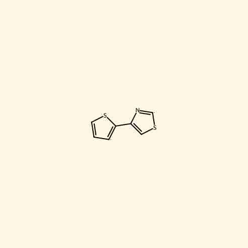 [c]1nc(-c2[c]ccs2)cs1